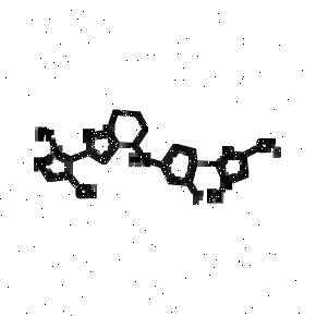 CCn1cc(C(F)(F)F)nc1-c1ccc(NC2CCCn3nc(-c4c(C#N)cnn4C(C)C)cc32)cc1F